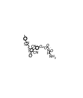 Cc1ccc(-c2nc(CSc3nc(N4CCCC4)c(C#N)c(-c4ccc(OCCOC(=O)[C@H](C)NC(=O)CCN)cc4)c3C#N)cs2)cc1